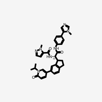 CC(C)n1cc(-c2ccc3c(c2)C([C@H](NC(=O)c2ccnn2C)C(=O)Nc2ccc(-c4cncn4C)cc2)CC3)ccc1=O